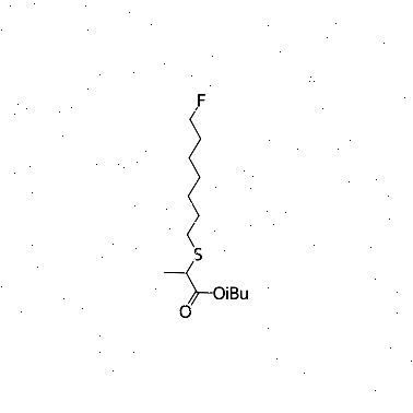 CC(C)COC(=O)C(C)SCCCCCCCF